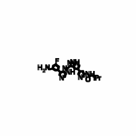 CC(C)CC(=O)Nc1cncc(-c2cnc3[nH]nc(-c4nc5c(-c6cc(F)cc(CN)c6)cncc5[nH]4)c3c2)c1